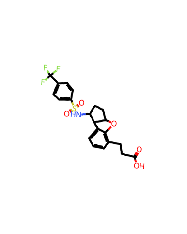 O=C(O)CCc1cccc2c1OC1CCC(NS(=O)(=O)c3ccc(C(F)(F)F)cc3)C21